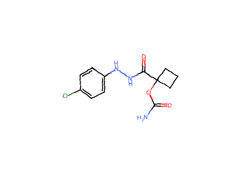 NC(=O)OC1(C(=O)NNc2ccc(Cl)cc2)CCC1